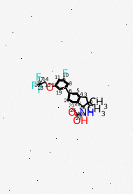 CC1(C)Cc2cc(-c3cc(F)cc(OCC(F)(F)F)c3)ccc2[C@@H]1NC(=O)O